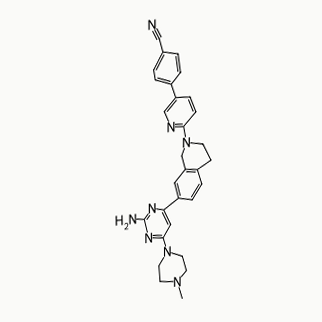 CN1CCN(c2cc(-c3ccc4c(c3)CN(c3ccc(-c5ccc(C#N)cc5)cn3)CC4)nc(N)n2)CC1